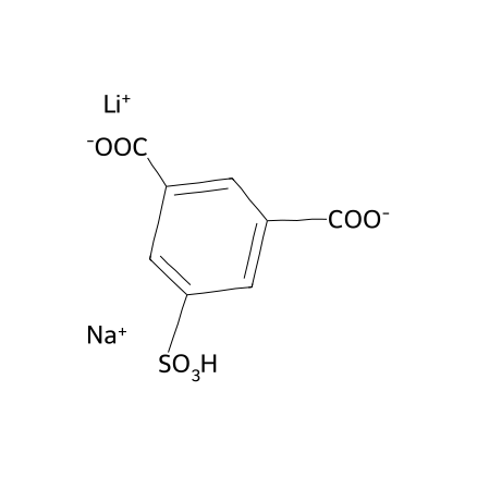 O=C([O-])c1cc(C(=O)[O-])cc(S(=O)(=O)O)c1.[Li+].[Na+]